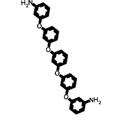 Nc1cccc(Oc2cccc(Oc3cccc(Oc4cccc(Oc5cccc(N)c5)c4)c3)c2)c1